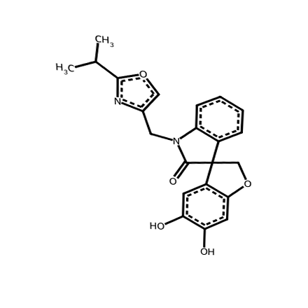 CC(C)c1nc(CN2C(=O)C3(COc4cc(O)c(O)cc43)c3ccccc32)co1